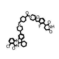 O=C1CCC(c2ccc3c(c2F)CC2(CCN(C(=O)C4CCC(CN5CCC(c6ccc7c(c6)-n6c(nc(=O)c8c(Cl)cccc86)C76CCCCC6)CC5)CC4)CC2)O3)C(=O)N1